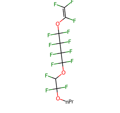 CCCOC(F)(F)C(F)OC(F)(F)C(F)(F)C(F)(F)C(F)(F)OC(F)=C(F)F